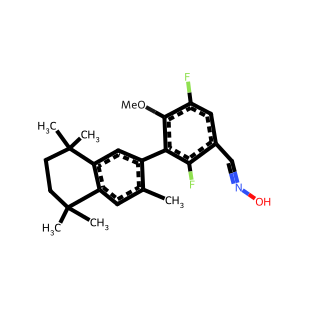 COc1c(F)cc(C=NO)c(F)c1-c1cc2c(cc1C)C(C)(C)CCC2(C)C